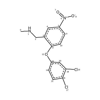 CNCc1cc([N+](=O)[O-])ccc1Oc1ccc(Cl)c(Cl)c1